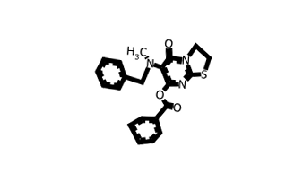 CN(Cc1ccccc1)c1c(OC(=O)c2ccccc2)nc2n(c1=O)CCS2